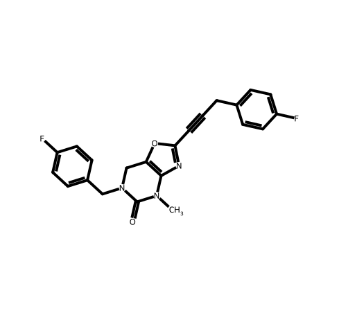 CN1C(=O)N(Cc2ccc(F)cc2)Cc2oc(C#CCc3ccc(F)cc3)nc21